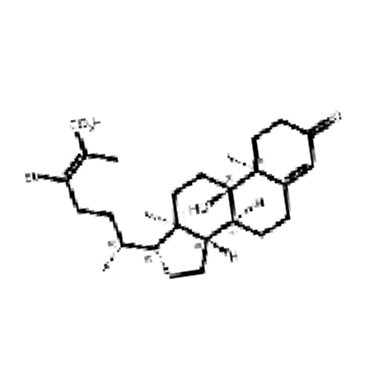 CCC(CC[C@@H](C)[C@H]1CC[C@H]2[C@@H]3CCC4=CC(=O)CC[C@]4(C)[C@@]3(O)CC[C@]12C)=C(C)C(=O)O